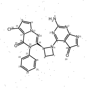 Nc1nc2c(c(N3CC[C@H]3c3nn4ccc(Cl)c4c(=O)n3-c3ccccc3)n1)C(=O)C=N2